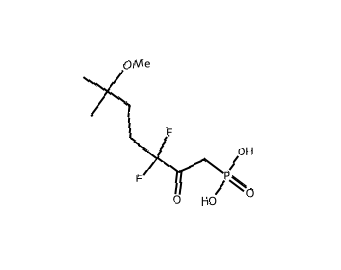 COC(C)(C)CCC(F)(F)C(=O)CP(=O)(O)O